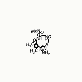 CNC(=O)O[C@H]1CCNC(=O)CCSc2cc(nc(N)n2)-c2cc(c(C)cc2C)C(=O)N1